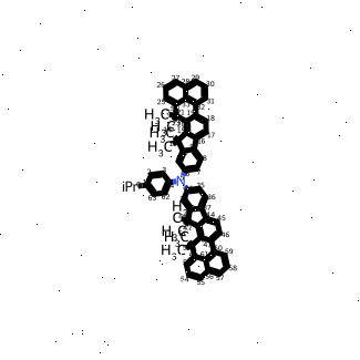 CC(C)c1ccc(N(c2ccc3c(c2)C(C)(C)c2c-3ccc3c2C(C)(C)c2cccc4cccc-3c24)c2ccc3c(c2)C(C)(C)c2c-3ccc3c2C(C)(C)c2cccc4cccc-3c24)cc1